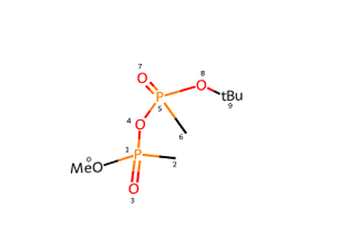 COP(C)(=O)OP(C)(=O)OC(C)(C)C